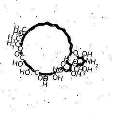 CC1OC(O[C@H]2/C=C/C=C/C=C/C=C/C=C/C=C/C=C/[C@H](C)[C@@H](O)[C@@H](C)[C@H](C)OC(=O)C[C@H](O)C[C@H](O)CC[C@@H](O)[C@H](O)C[C@H](O)C[C@]3(O)CC(O)[C@@H](C)[C@H](C2)O3)C(O)C(N)C1O